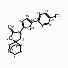 O=C1OC2(CN3CCC2CC3)CN1c1ccc(-c2ccc(F)cc2)s1